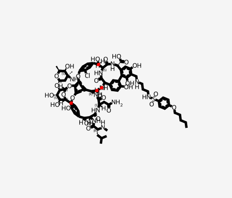 CCCCCOc1ccc(S(=O)(=O)NCCCNCc2c(O)cc3c(c2O)-c2cc(ccc2O)[C@H]2NC(=O)[C@@H]4NC(=O)[C@H](CC(N)=O)NC(=O)[C@H](NC(=O)[C@@H](CC(C)C)NC)[C@H](O)c5ccc6c(c5)C(O)[C@H]5O[C@@H](Oc7c(cc4cc7O6)Oc4ccc(cc4Cl)[C@@H](O)[C@H](NC2=O)C(=O)N[C@@H]3C(=O)O)[C@H](O[C@H]2C[C@](C)(N)[C@H](O)[C@H](C)O2)[C@@H](O)[C@@H]5O)cc1